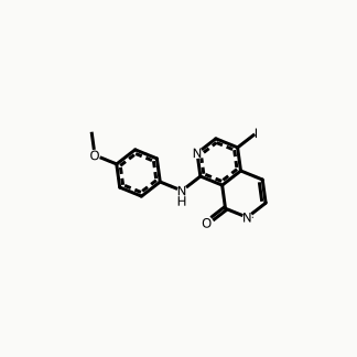 COc1ccc(Nc2ncc(I)c3c2C(=O)[N]C=C3)cc1